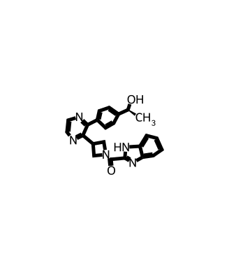 C[C@H](O)c1ccc(-c2nccnc2C2CN(C(=O)c3nc4ccccc4[nH]3)C2)cc1